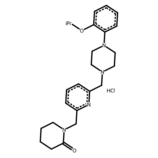 CC(C)Oc1ccccc1N1CCN(Cc2cccc(CN3CCCCC3=O)n2)CC1.Cl